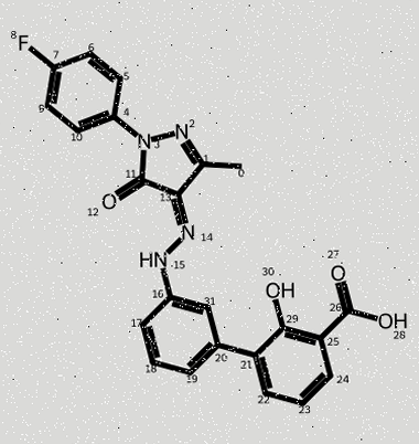 CC1=NN(c2ccc(F)cc2)C(=O)/C1=N\Nc1cccc(-c2cccc(C(=O)O)c2O)c1